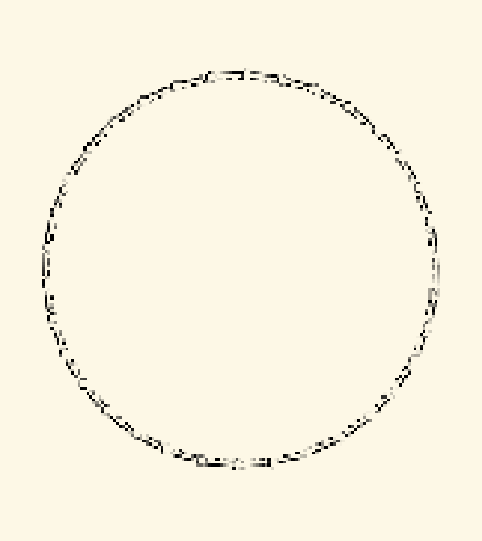 c1ccccccccccccccccncccccccccccccccc1